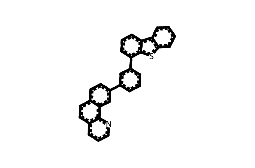 c1cc(-c2ccc3ccc4cccnc4c3c2)cc(-c2cccc3c2sc2ccccc23)c1